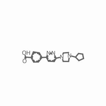 O=C(O)c1ccc(-c2ccc(N3CCN(C4CCCC4)CC3)nn2)cc1